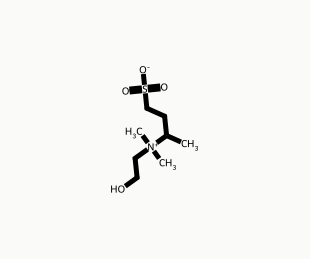 CC(CCS(=O)(=O)[O-])[N+](C)(C)CCO